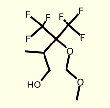 COCOC(C(C)CO)(C(F)(F)F)C(F)(F)F